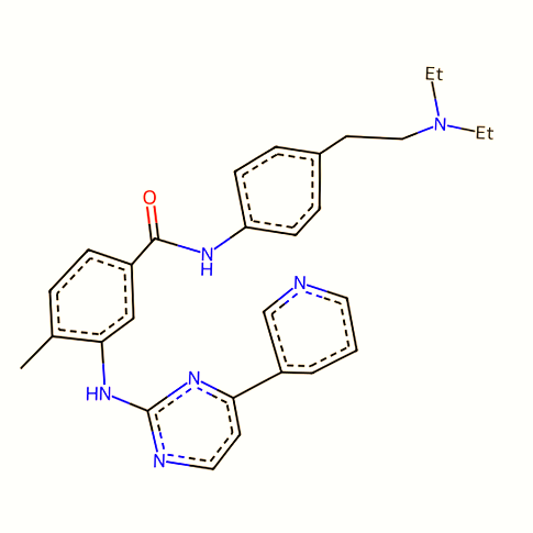 CCN(CC)CCc1ccc(NC(=O)c2ccc(C)c(Nc3nccc(-c4cccnc4)n3)c2)cc1